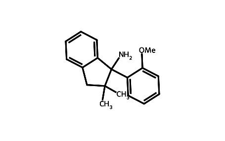 COc1ccccc1C1(N)c2ccccc2CC1(C)C